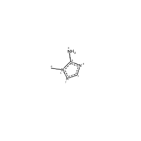 Cn1ncnc1N